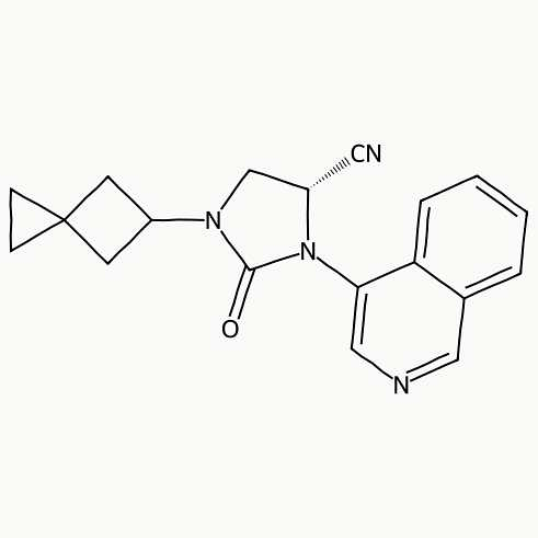 N#C[C@H]1CN(C2CC3(CC3)C2)C(=O)N1c1cncc2ccccc12